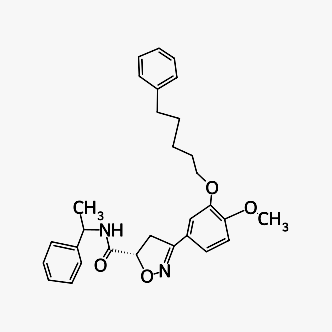 COc1ccc(C2=NO[C@H](C(=O)NC(C)c3ccccc3)C2)cc1OCCCCCc1ccccc1